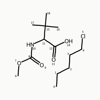 CCCCCCl.COC(=O)NC(C(=O)O)C(C)(C)C